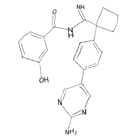 N=C(NC(=O)c1cccc(O)c1)C1(c2ccc(-c3cnc(N)nc3)cc2)CCC1